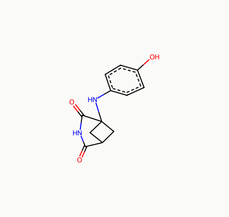 O=C1NC(=O)C2(Nc3ccc(O)cc3)CC1C2